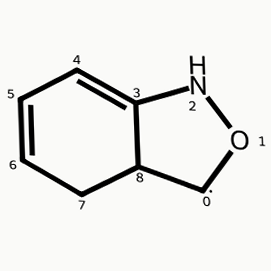 [CH]1ONC2=CC=CCC12